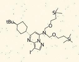 CC(C)(C)[C@H]1CC[C@H](c2cc(N(COCC[Si](C)(C)C)COCC[Si](C)(C)C)n3ncc(I)c3n2)CC1